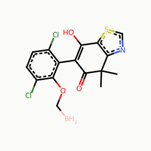 BCOc1c(Cl)ccc(Cl)c1C1=C(O)c2scnc2C(C)(C)C1=O